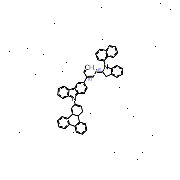 C=C/C(=C\C=C1/Cc2ccccc2N1c1cccc2ccccc12)c1ccc2c(c1)c1ccccc1n2C1=CCC2C(=C1)c1ccccc1-c1ccccc12